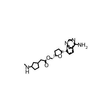 CNC1CCC(CC(=O)OC[C@@H]2CC[C@H](c3ccc4c(N)ncnn34)O2)C1